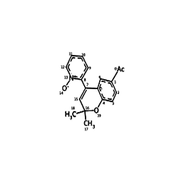 CC(=O)c1ccc2c(c1)C(c1cccc[n+]1[O-])=CC(C)(C)O2